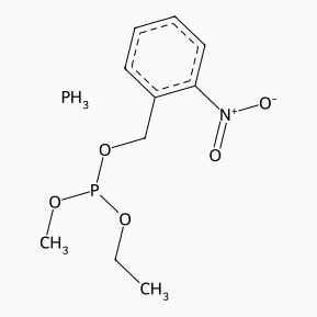 CCOP(OC)OCc1ccccc1[N+](=O)[O-].P